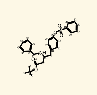 CC(C)(C)OC(=O)CC(Cc1ccc(OS(=O)(=O)c2ccccc2)cc1)NCc1ccccc1